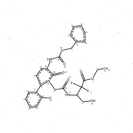 CCOC(=O)C(F)(F)C(CO)NC(=O)Cn1c(-c2ccccc2Cl)ccc(NC(=O)OCc2ccccc2)c1=O